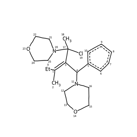 CCC(C)=C(C(c1ccccc1)N1CCOCC1)C(C)(Cl)N1CCOCC1